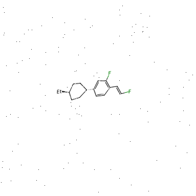 CC[C@H]1CC[C@H](c2ccc(C=CF)c(F)c2)CC1